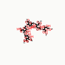 COCC1OC(C(=O)OC)C(COCC2OC(C(=O)OC)C(COCC3OC(C(=O)OC)C(COCC4OC(C(=O)O)C(COCC5OC(C(=O)OC)C(COC)C(O)C5O)C(O)C4O)C(O)C3O)C(O)C2O)C(O)C1O